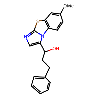 COc1ccc2c(c1)sc1ncc(C(O)CCc3ccccc3)n12